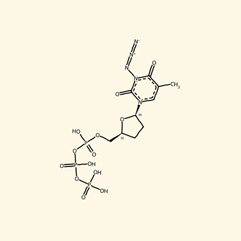 Cc1cn([C@H]2CC[C@@H](COP(=O)(O)OP(=O)(O)OP(=O)(O)O)O2)c(=O)n(N=[N+]=[N-])c1=O